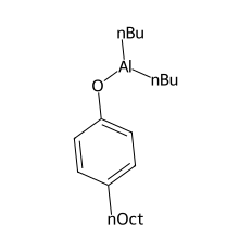 CCCCCCCCc1ccc([O][Al]([CH2]CCC)[CH2]CCC)cc1